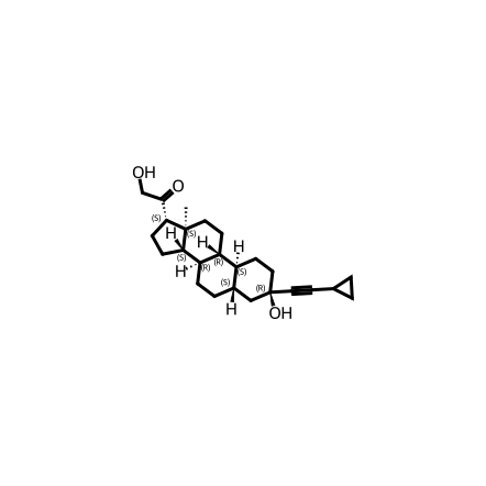 C[C@]12CC[C@H]3[C@@H](CC[C@H]4C[C@@](O)(C#CC5CC5)CC[C@@H]43)[C@@H]1CC[C@@H]2C(=O)CO